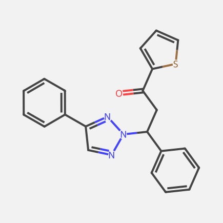 O=C(CC(c1ccccc1)n1ncc(-c2ccccc2)n1)c1cccs1